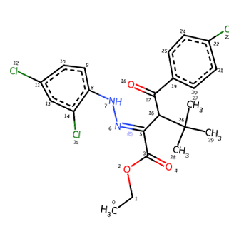 CCOC(=O)/C(=N/Nc1ccc(Cl)cc1Cl)C(C(=O)c1ccc(Cl)cc1)C(C)(C)C